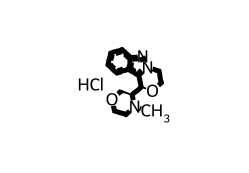 CN1CCOC[C@H]1[C@H]1OCCn2nc3ccccc3c21.Cl